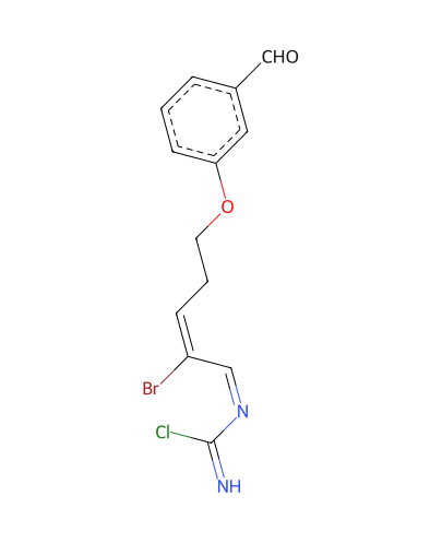 N=C(Cl)/N=C\C(Br)=C/CCOc1cccc(C=O)c1